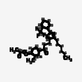 CCCCCCc1nc(-c2ccccc2C(F)(F)F)sc1CCC(=O)c1ccc(OOC(C)=O)c(C)c1